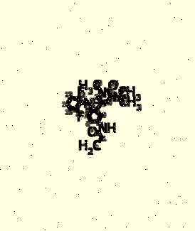 C=CC(=O)Nc1ccc(Nc2c(F)cccc2F)c(-c2cc(N(C)C)c(=O)n(C)c2)c1